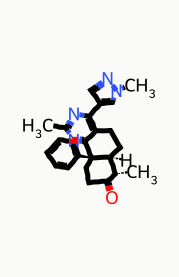 Cc1nc(-c2cnn(C)c2)c2c(n1)[C@@]1(c3ccccc3)CCC(=O)[C@@H](C)[C@@H]1CC2